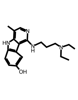 CCN(CC)CCCNc1ncc(C)c2[nH]c3ccc(O)cc3c12